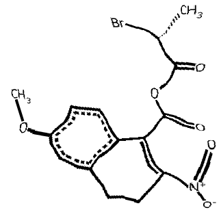 COc1ccc2c(c1)CCC([N+](=O)[O-])=C2C(=O)OC(=O)[C@@H](C)Br